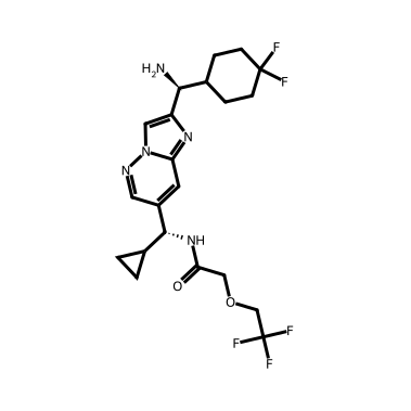 N[C@H](c1cn2ncc([C@H](NC(=O)COCC(F)(F)F)C3CC3)cc2n1)C1CCC(F)(F)CC1